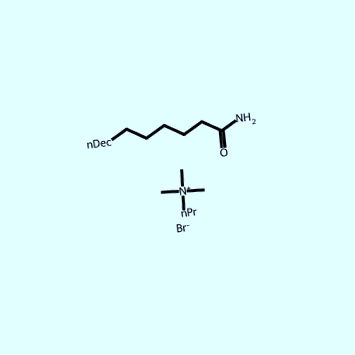 CCCCCCCCCCCCCCCC(N)=O.CCC[N+](C)(C)C.[Br-]